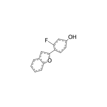 Oc1ccc(-c2cc3ccccc3o2)c(F)c1